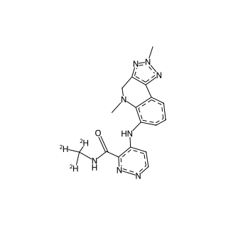 [2H]C([2H])([2H])NC(=O)c1nnccc1Nc1cccc2c1N(C)Cc1nn(C)nc1-2